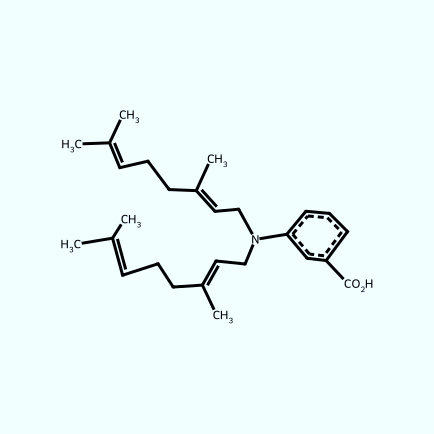 CC(C)=CCC/C(C)=C/CN(C/C=C(\C)CCC=C(C)C)c1cccc(C(=O)O)c1